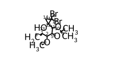 C=CC(OC)C1OC(C)(C)OC1[C@]1(O)CC1(Br)Br